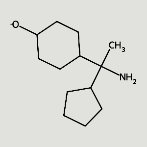 CC(N)(C1CCCC1)C1CCC([O])CC1